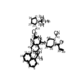 [2H]C([2H])([2H])c1cccc2cccc(N3CCc4c(nc(OC[C@@H]5CCCN5C([2H])([2H])[2H])nc4N4CCN(C(=O)C=C)[C@@H](CC#N)C4)C3)c12